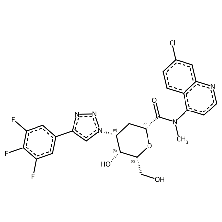 CN(C(=O)[C@H]1C[C@@H](n2cc(-c3cc(F)c(F)c(F)c3)nn2)[C@@H](O)[C@@H](CO)O1)c1ccnc2cc(Cl)ccc12